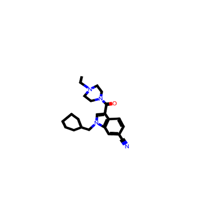 CCN1CCN(C(=O)c2cn(CC3CCCCC3)c3cc(C#N)ccc23)CC1